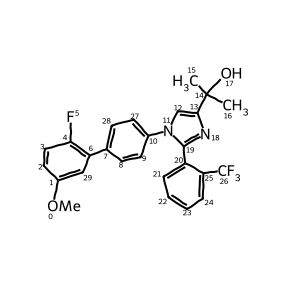 COc1ccc(F)c(-c2ccc(-n3cc(C(C)(C)O)nc3-c3ccccc3C(F)(F)F)cc2)c1